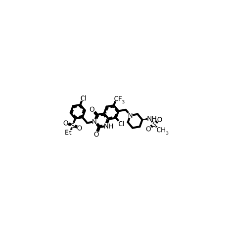 CCS(=O)(=O)c1ccc(Cl)cc1Cn1c(=O)[nH]c2c(Cl)c(CN3CCC[C@H](NS(C)(=O)=O)C3)c(C(F)(F)F)cc2c1=O